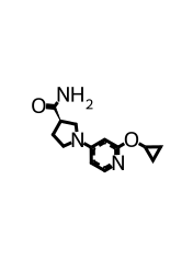 NC(=O)[C@@H]1CCN(c2ccnc(OC3CC3)c2)C1